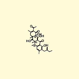 C=C(CC)Cc1c(C)cc2c(c1O)C(=O)C1=C(O)[C@@]3(O)C(=O)C(C(C)=O)=C(C)C[C@@]3(C)[C@H](O)[C@@]1(C)[C@@H]2C